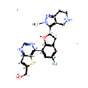 Cn1nc2c(c1[C@H]1Cc3cc(Cl)cc(-c4ncnc5cc(CO)sc45)c3O1)CNCC2